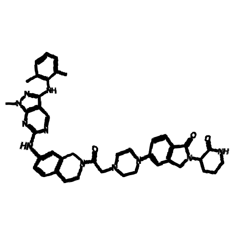 Cc1cccc(C)c1Nc1nn(C)c2nc(Nc3ccc4c(c3)CN(C(=O)CN3CCN(c5ccc6c(c5)CN(C5CCCNC5=O)C6=O)CC3)CC4)ncc12